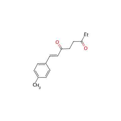 CCC(=O)CCC(=O)/C=C/c1ccc(C)cc1